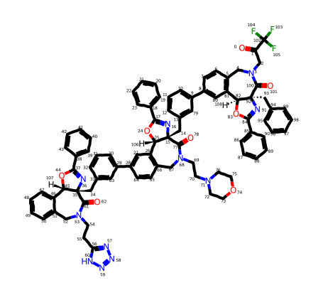 O=C(CN1Cc2ccc(-c3cccc(C[C@]45N=C(c6ccccc6)O[C@H]4c4cc(-c6cccc(C[C@]78N=C(c9ccccc9)O[C@H]7c7ccccc7CN(CCc7nnn[nH]7)C8=O)c6)ccc4CN(CCN4CCOCC4)C5=O)c3)cc2[C@@H]2OC(c3ccccc3)=N[C@]2(Cc2ccccc2)C1=O)C(F)(F)F